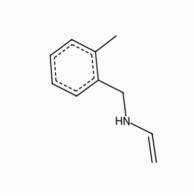 C=CNCc1ccccc1C